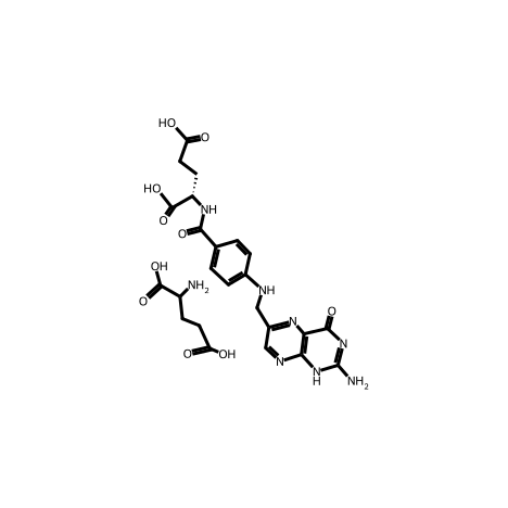 NC(CCC(=O)O)C(=O)O.Nc1nc(=O)c2nc(CNc3ccc(C(=O)N[C@@H](CCC(=O)O)C(=O)O)cc3)cnc2[nH]1